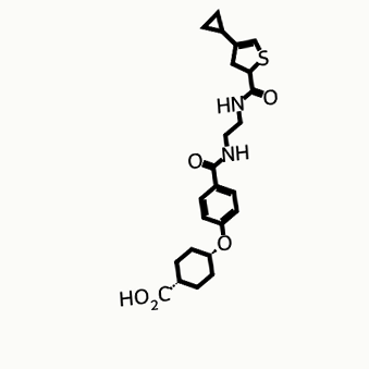 O=C(NCCNC(=O)C1CC(C2CC2)=CS1)c1ccc(O[C@H]2CC[C@@H](C(=O)O)CC2)cc1